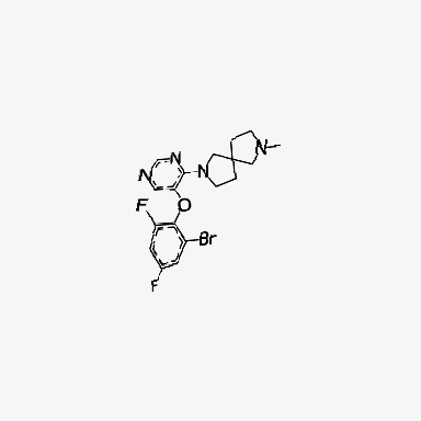 CN1CCC2(CCN(c3ncncc3Oc3c(F)cc(F)cc3Br)C2)C1